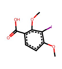 COc1ccc(C(=O)O)c(OC)c1I